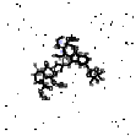 C=C/C(=C(\N=C/C)[C@H](C)OC)c1c(CC(C)(C)COC(=O)[C@@H]2[C@@H](C)CCN(C(=O)OC(C)(C)C)N2C(=O)OC(C)(C)C)c2cc(B3OC(C)(C)C(C)(C)O3)ccc2n1CC